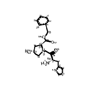 Cl.N[C@@H](Cc1cscn1)C(=O)N1CCC[C@H]1C(=O)OCc1ccccc1